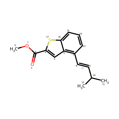 COC(=O)c1cc2c(/C=C/C(C)C)cccc2s1